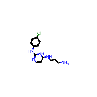 NCCCNC1C=CN=C(Nc2ccc(Cl)cc2)N1